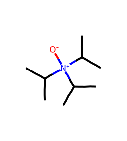 CC(C)[N+]([O-])(C(C)C)C(C)C